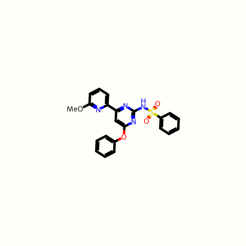 COc1cccc(-c2cc(Oc3ccccc3)nc(NS(=O)(=O)c3ccccc3)n2)n1